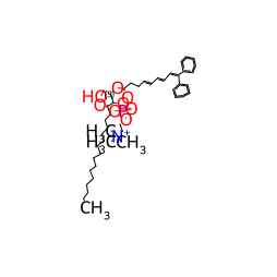 CCCCCCCCCCCCCCCC(=O)C(OP(=O)([O-])OCC[N+](C)(C)C)[C@H](CO)OC(=O)CCC=CC=CC=C(c1ccccc1)c1ccccc1